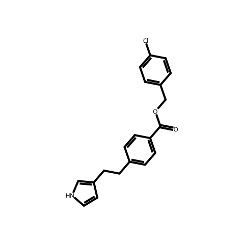 O=C(OCc1ccc(Cl)cc1)c1ccc(CCc2cc[nH]c2)cc1